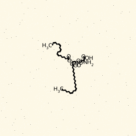 CC/C=C\C/C=C\C/C=C\C/C=C\CCCCC(=O)OC[C@H](COP(=O)(O)OC[C@H](N)C(=O)O)OC(=O)CCCCCCCCCCC/C=C\C/C=C\CCCCC